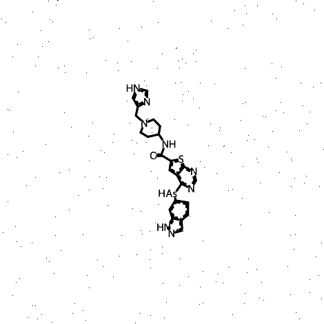 O=C(NC1CCN(Cc2c[nH]cn2)CC1)c1cc2c([AsH]c3ccc4cn[nH]c4c3)ncnc2s1